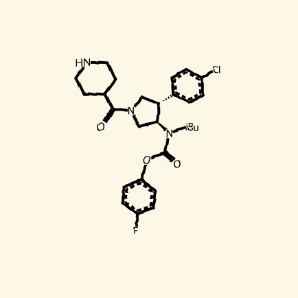 CCC(C)N(C(=O)Oc1ccc(F)cc1)[C@H]1CN(C(=O)C2CCNCC2)C[C@@H]1c1ccc(Cl)cc1